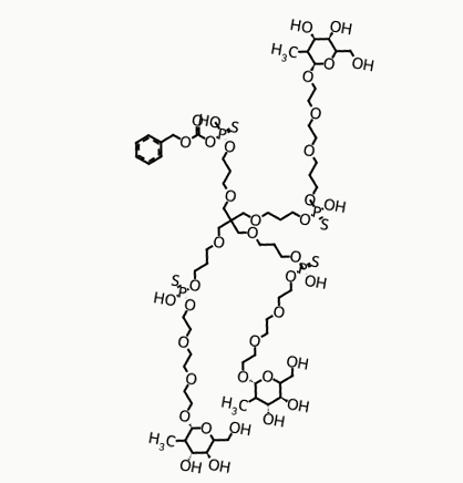 CC1[C@H](OCCOCCOCCOP(O)(=S)OCCCOCC(COCCCOP(O)(=S)OCCCOCCOCCO[C@@H]2OC(CO)[C@H](O)[C@H](O)C2C)(COCCCOP(O)(=S)OCCOCCOCCO[C@@H]2OC(CO)[C@@H](O)[C@H](O)C2C)COCCCOP(O)(=S)OC(=O)OCc2ccccc2)OC(CO)[C@@H](O)[C@@H]1O